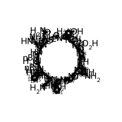 CCCC[C@H]1C(=O)N(C)[C@@H](CCCC)C(=O)N[C@@H](CCCNC(=N)N)C(=O)N[C@H](C(=O)NCC(N)=O)CSCC(=O)N[C@@H](Cc2ccc(O)cc2)C(=O)N(C)[C@@H](C)C(=O)N[C@@H](CC(=O)O)C(=O)N2CCC[C@H]2C(=O)N[C@@H](Cc2c[nH]cn2)C(=O)N[C@@H](CCCCN)C(=O)N2CCC[C@H]2C(=O)N[C@@H](Cc2c[nH]c3ccccc23)C(=O)N[C@@H](CCCCN)C(=O)N[C@@H](Cc2c[nH]c3ccccc23)C(=O)N1C